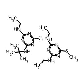 CCNc1nc(Cl)nc(NC(C)(C)C)n1.CCNc1nc(NCC)nc(SC)n1